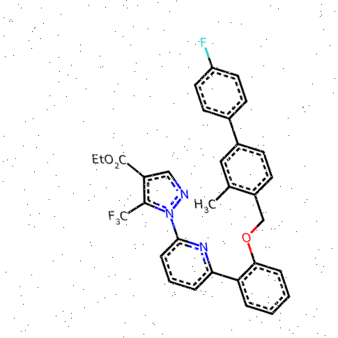 CCOC(=O)c1cnn(-c2cccc(-c3ccccc3OCc3ccc(-c4ccc(F)cc4)cc3C)n2)c1C(F)(F)F